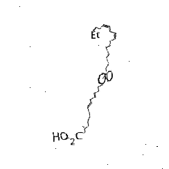 CC/C=C\C/C=C\C/C=C\CCCCCCCC(=O)OCCCCCCCCCCCCCC(=O)O